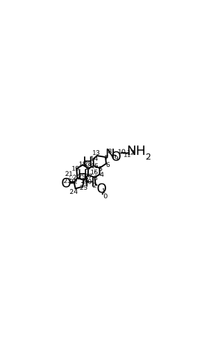 COCC1CC2CC(=NOCCN)CC[C@]2(C)[C@@H]2CC[C@]3(C)C(=O)CC[C@H]3[C@H]12